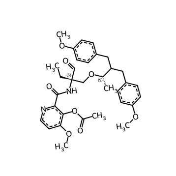 CC[C@@](C=O)(CO[C@@H](C)C(Cc1ccc(OC)cc1)Cc1ccc(OC)cc1)NC(=O)c1nccc(OC)c1OC(C)=O